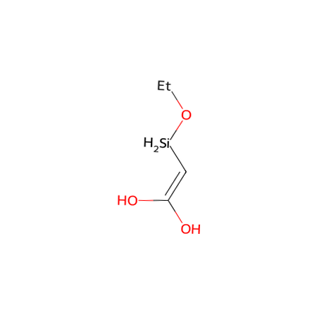 CCO[SiH2]C=C(O)O